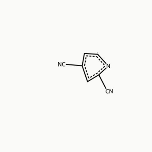 N#Cc1c[c]nc(C#N)c1